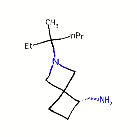 CCCC(C)(CC)N1CC2(CC[C@H]2N)C1